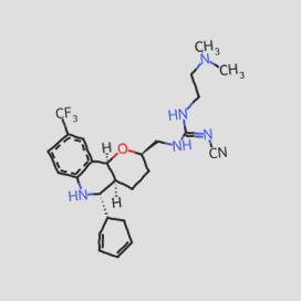 CN(C)CCN/C(=N/C#N)NC[C@H]1CC[C@@H]2[C@H](O1)c1cc(C(F)(F)F)ccc1N[C@H]2C1C=CC=CC1